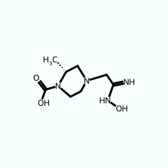 C[C@@H]1CN(CC(=N)NO)CCN1C(=O)O